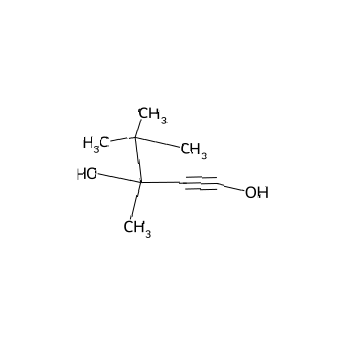 CC(C)(C)C(C)(O)C#CO